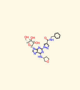 O=C(NCc1ccccc1)c1cnn(-c2nc(NC3CCOC3)c3ncn([C@@H]4O[C@H](CO)[C@@H](O)[C@H]4O)c3n2)c1